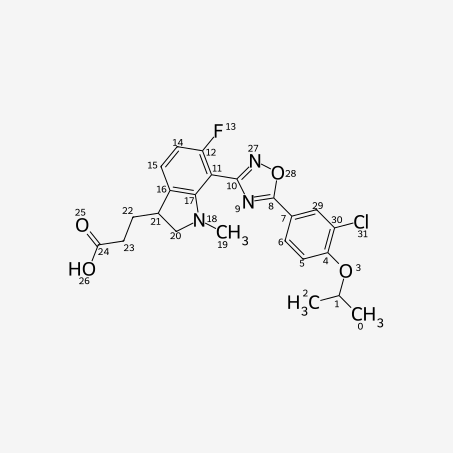 CC(C)Oc1ccc(-c2nc(-c3c(F)ccc4c3N(C)CC4CCC(=O)O)no2)cc1Cl